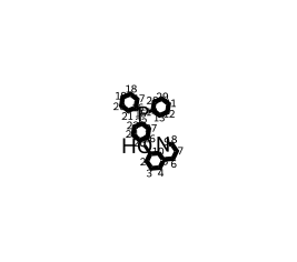 Oc1cccc2cccnc12.c1ccc(P(c2ccccc2)c2ccccc2)cc1